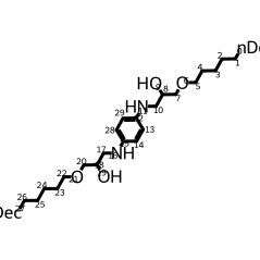 CCCCCCCCCCCCCCCOCC(O)CNc1ccc(NCC(O)COCCCCCCCCCCCCCCC)cc1